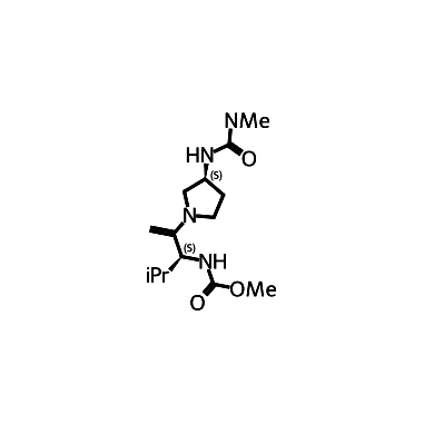 C=C([C@@H](NC(=O)OC)C(C)C)N1CC[C@H](NC(=O)NC)C1